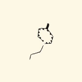 O=c1ccn(CCF)cc1